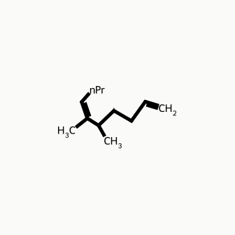 C=CC[CH]C(C)/C(C)=C\CCC